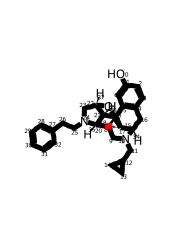 Oc1ccc2c(c1)[C@]13CCN(CC4CC4)[C@H](C2)[C@]12CC[C@@H]1[C@H]3[C@@H](CN1CCc1ccccc1)O2